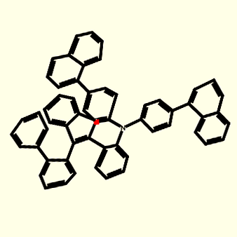 c1ccc(-c2ccccc2-c2c(-c3ccccc3N(c3ccc(-c4cccc5ccccc45)cc3)c3ccc(-c4cccc5ccccc45)cc3)oc3ccccc23)cc1